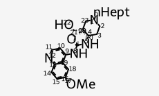 CCCCCCCN1CC[C@@H](NC(=O)Nc2ccnc3ccc(OC)cc23)[C@H](CO)C1